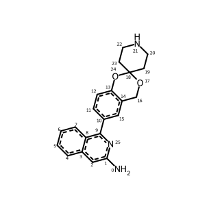 Nc1cc2ccccc2c(-c2ccc3c(c2)COC2(CCNCC2)O3)n1